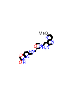 COc1ccc2ncc(N)c(CCN3CCO[C@@H](CNCc4ccc5c(n4)NC(=O)CO5)C3)c2n1